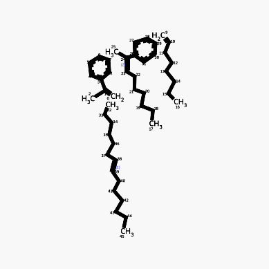 C=C(C)c1ccccc1.C=CCCCCCC.CCCCCC/C=C(/C)c1ccccc1.CCCCCC/C=C/CCCCCC